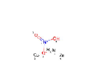 O=[N+]([O-])O.[AlH3].[Cu].[Zn]